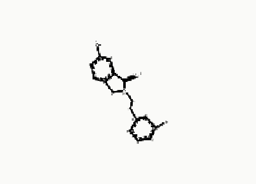 O=C1c2cc(O)ccc2CN1CCc1cccc(F)c1